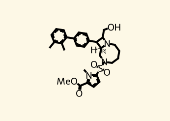 COC(=O)c1ccc(S(=O)(=O)N2CCCCN3C(CO)C(c4ccc(-c5cccc(C)c5C)cc4)[C@@H]3C2)n1C